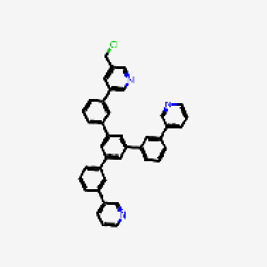 ClCc1cncc(-c2cccc(-c3cc(-c4cccc(-c5cccnc5)c4)cc(-c4cccc(-c5cccnc5)c4)c3)c2)c1